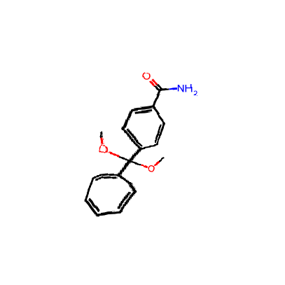 COC(OC)(c1ccccc1)c1ccc(C(N)=O)cc1